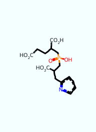 O=C(O)CCC(CP(=O)(O)CC(Cc1ccccn1)C(=O)O)C(=O)O